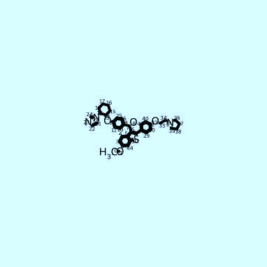 COc1ccc2c(C(=O)c3ccc(OC4CCCCC4n4ccnc4)cc3)c(-c3ccc(OCCN4CCCC4)cc3)sc2c1